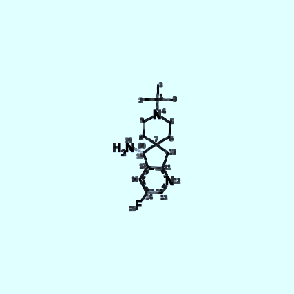 CC(C)(C)N1CCC2(CC1)Cc1ncc(F)cc1[C@@H]2N